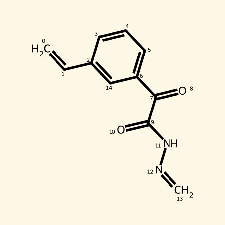 C=Cc1cccc(C(=O)C(=O)NN=C)c1